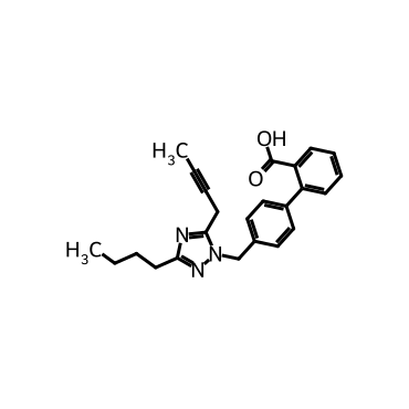 CC#CCc1nc(CCCC)nn1Cc1ccc(-c2ccccc2C(=O)O)cc1